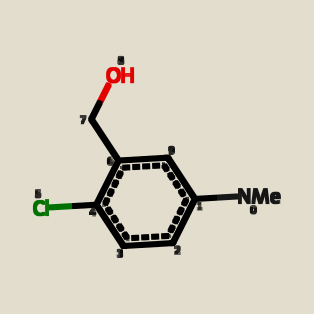 CNc1ccc(Cl)c(CO)c1